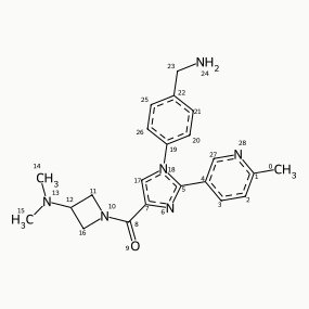 Cc1ccc(-c2nc(C(=O)N3CC(N(C)C)C3)cn2-c2ccc(CN)cc2)cn1